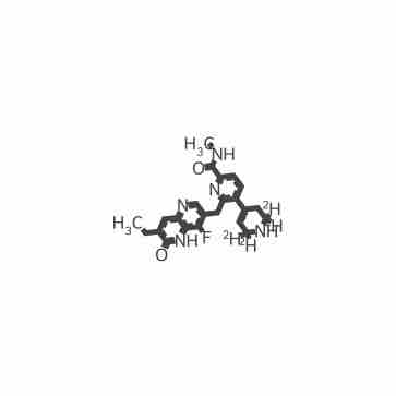 [2H]C1([2H])C=C(c2ccc(C(=O)NC)nc2Cc2cnc3cc(CC)c(=O)[nH]c3c2F)CC([2H])([2H])N1